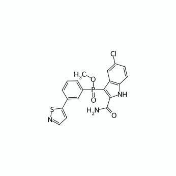 COP(=O)(c1cccc(-c2ccns2)c1)c1c(C(N)=O)[nH]c2ccc(Cl)cc12